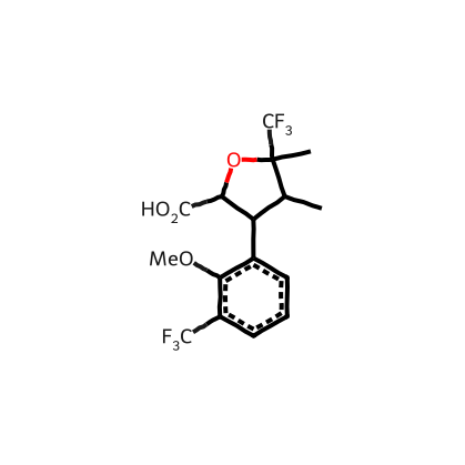 COc1c(C2C(C(=O)O)OC(C)(C(F)(F)F)C2C)cccc1C(F)(F)F